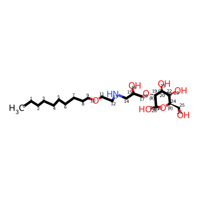 CCCCCCCCCCOCCNCC(O)CO[C@@H]1[C@@H](O)[C@@H](O)[C@@H](CO)O[C@H]1O